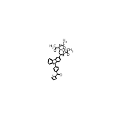 CC(=O)O/N=C(\CC(C)N(OC(C)=O)C(C)=O)c1ccc2c(c1)c1ccccc1n2-c1ccc(C(=O)c2cccs2)cc1